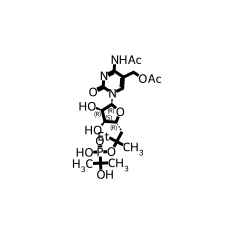 CCC(C)(C[C@H]1O[C@@H](n2cc(COC(C)=O)c(NC(C)=O)nc2=O)[C@H](O)[C@@H]1O)OP(=O)(O)C(C)(C)O